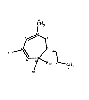 CCC[C@H]1CC(C)=CC(I)=CC1(F)I